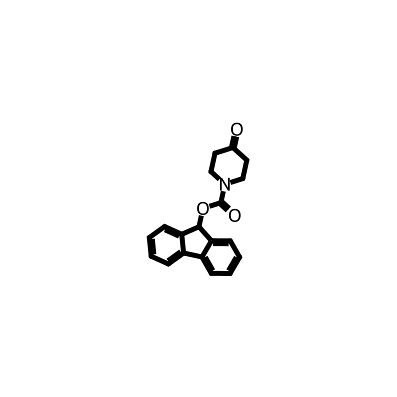 O=C1CCN(C(=O)OC2c3ccccc3-c3ccccc32)CC1